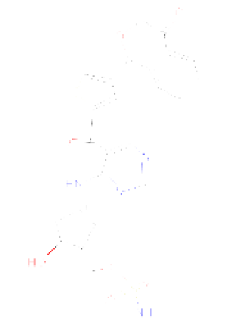 NS(=O)(=O)OC[C@H]1C[C@@H](Nc2ncncc2C(=O)c2cc(C3OCC(=O)c4ccccc43)cs2)C[C@@H]1O